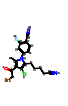 Cc1c(C(=O)CBr)c(Cl)c(CCCCC#N)n1-c1ccc(C#N)c(F)c1